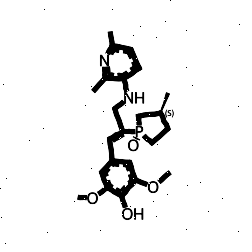 COc1cc(C=C(CNc2ccc(C)nc2C)P2(=O)CC[C@H](C)C2)cc(OC)c1O